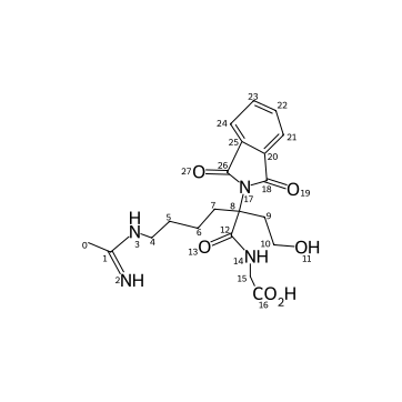 CC(=N)NCCCCC(CCO)(C(=O)NCC(=O)O)N1C(=O)c2ccccc2C1=O